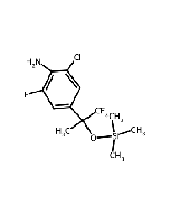 CC(O[Si](C)(C)C)(c1cc(F)c(N)c(Cl)c1)C(F)(F)F